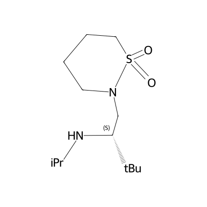 CC(C)N[C@H](CN1CCCCS1(=O)=O)C(C)(C)C